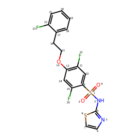 O=S(=O)(Nc1nccs1)c1cc(F)c(OCCc2ccccc2F)cc1F